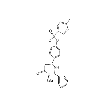 Cc1ccc(S(=O)(=O)Oc2ccc(C(CC(=O)OC(C)(C)C)NCc3ccccc3)cc2)cc1